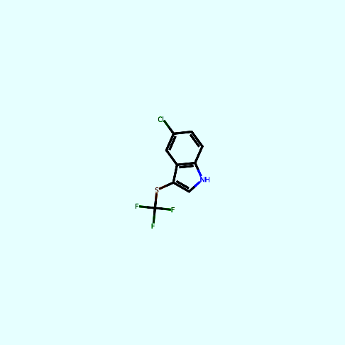 FC(F)(F)Sc1c[nH]c2ccc(Cl)cc12